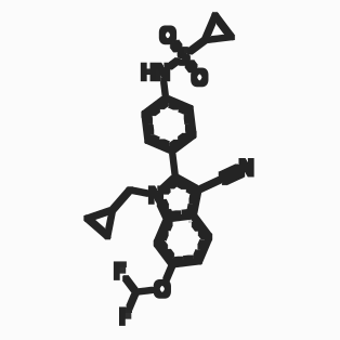 N#Cc1c(-c2ccc(NS(=O)(=O)C3CC3)cc2)n(CC2CC2)c2cc(OC(F)F)ccc12